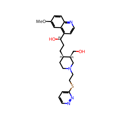 COc1ccc2nccc([C@H](O)CC[C@@H]3CCN(CCSc4cccnn4)C[C@@H]3CO)c2c1